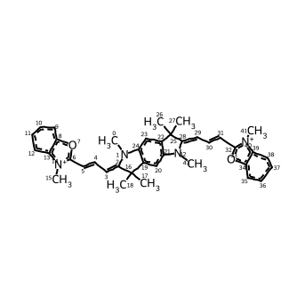 CN1C(=CC=Cc2oc3ccccc3[n+]2C)C(C)(C)c2cc3c(cc21)C(C)(C)C(=CC=Cc1oc2ccccc2[n+]1C)N3C